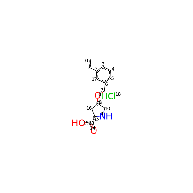 C=Cc1cccc(CO[C@H]2CN[C@H](C(=O)O)C2)c1.Cl